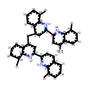 CCc1cc(-c2cc(Cc3cc(-c4ccc5cccc(C)c5n4)nc4c(C)cccc34)c3cccc(C)c3n2)nc2c(C)cccc12